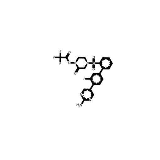 Nc1ncc(-c2ccc(-c3ccccc3S(=O)(=O)N3CCN(OC(=O)C(F)(F)F)C(=O)C3)cc2F)cn1